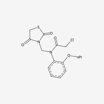 CCCOc1ccccc1N(CN1C(=O)CSC1=O)C(=O)CCl